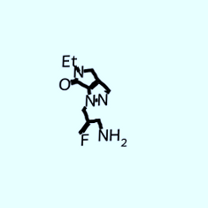 CCN1Cc2cnn(CC(=CF)CN)c2C1=O